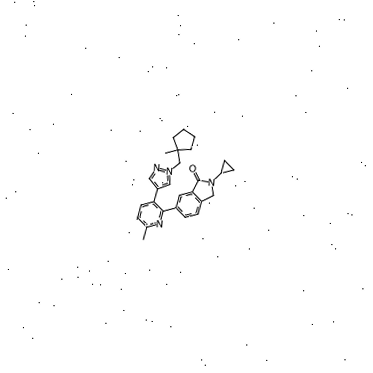 Cc1ccc(-c2cnn(CC3(C)CCCC3)c2)c(-c2ccc3c(c2)C(=O)N(C2CC2)C3)n1